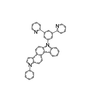 c1ccc(-n2ccc3c4ccc5c(c4ccc32)c2ccccc2n5-c2cc(-c3ccccn3)cc(-c3ccccn3)c2)cc1